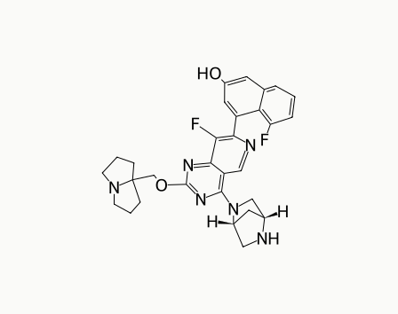 Oc1cc(-c2ncc3c(N4C[C@H]5C[C@@H]4CN5)nc(OCC45CCCN4CCC5)nc3c2F)c2c(F)cccc2c1